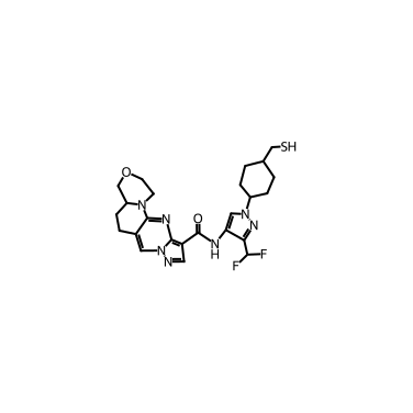 O=C(Nc1cn(C2CCC(CS)CC2)nc1C(F)F)c1cnn2cc3c(nc12)N1CCOCC1CC3